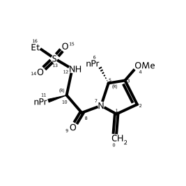 C=C1C=C(OC)[C@@H](CCC)N1C(=O)[C@@H](CCC)NS(=O)(=O)CC